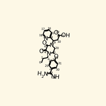 CCCN1C(=O)C(=O)N(C(CC(=O)O)c2ccccn2)CC1Oc1ccc(C(=N)N)cc1